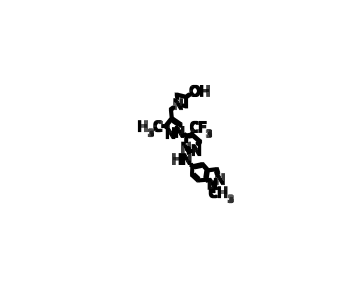 Cc1nn(-c2nc(Nc3ccc4c(cnn4C)c3)ncc2C(F)(F)F)cc1CN1CC(O)C1